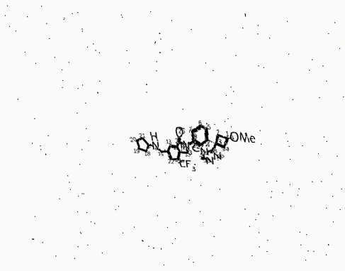 CO[C@H]1C[C@](c2cccc(N3Cc4c(cc(CNC5CCCC5)cc4C(F)(F)F)C3=O)c2)(c2nncn2C)C1